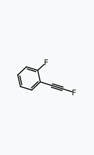 FC#Cc1ccccc1F